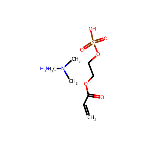 C=CC(=O)OCCOS(=O)(=O)O.CN(C)C.N